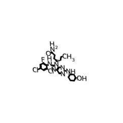 CCC[C@H](CCC(N)=O)n1c(Nc2c(F)cc(Cl)cc2Cl)nc2cnc(N[C@H]3CCC[C@@H](O)C3)nc21